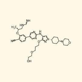 C[C@@H](CNC=N)Oc1cc(-c2cnc(Nc3cn([C@H]4CC[C@H](N5CCOCC5)CC4)nc3OCCCOCCO)nc2)ccc1C#N